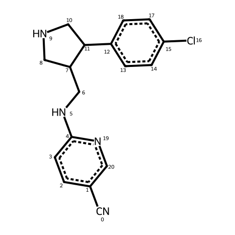 N#Cc1ccc(NCC2CNCC2c2ccc(Cl)cc2)nc1